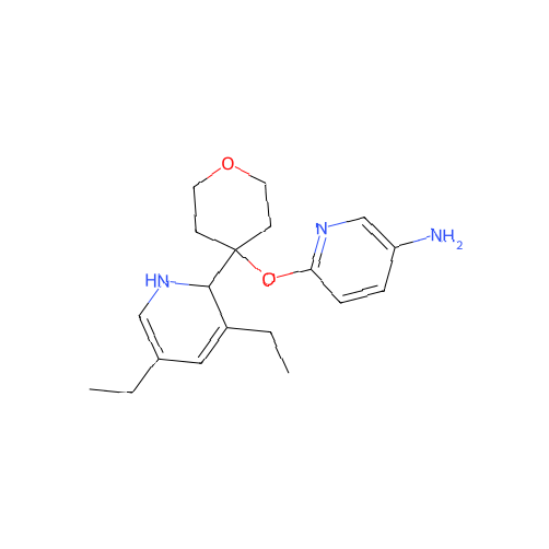 CCC1=CNC(C2(Oc3ccc(N)cn3)CCOCC2)C(CC)=C1